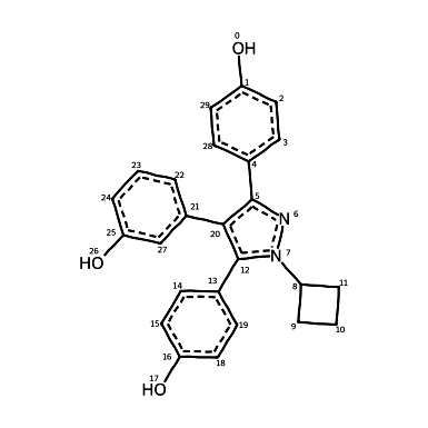 Oc1ccc(-c2nn(C3CCC3)c(-c3ccc(O)cc3)c2-c2cccc(O)c2)cc1